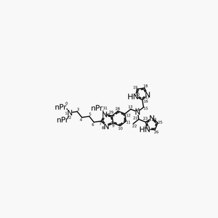 CCCN(CCC)CCCCc1nc2ccc(CN(Cc3ncc[nH]3)C(C)c3ncc[nH]3)cc2n1CCC